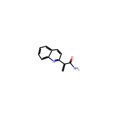 C=C(C(N)=O)c1ccc2ccccc2n1